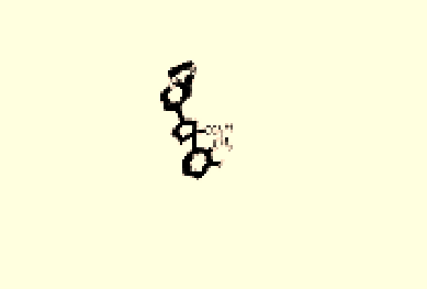 Cc1c(F)cccc1[C@]1(C(=O)O)CCC(c2ccn3ccnc3c2)C1